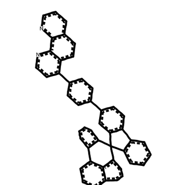 c1ccc2c(c1)-c1ccc(-c3ccc(-c4ccnc5c4ccc4cccnc45)cc3)cc1C21c2ccccc2-c2cccc3cccc1c23